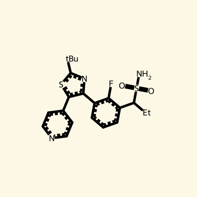 CCC(c1cccc(-c2nc(C(C)(C)C)sc2-c2ccncc2)c1F)S(N)(=O)=O